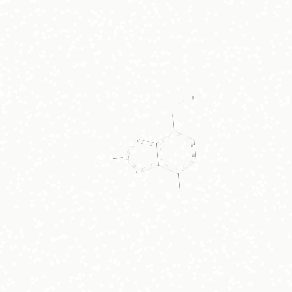 CCCOc1ccc(F)c2nc(C(F)(F)F)sc12